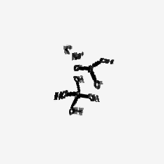 O[Si](O)(O)O.[K+].[Na+].[O-]B([O-])O